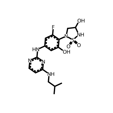 CC(C)CNc1ccnc(Nc2cc(O)c(N3CC(O)NS3(=O)=O)c(F)c2)n1